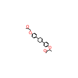 CC(Oc1ccc(C2=CCC(c3ccc(OCC4CO4)cc3)CC2)cc1)C1CO1